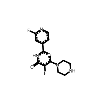 O=c1[nH]c(-c2ccnc(F)c2)nc(N2CCNCC2)c1F